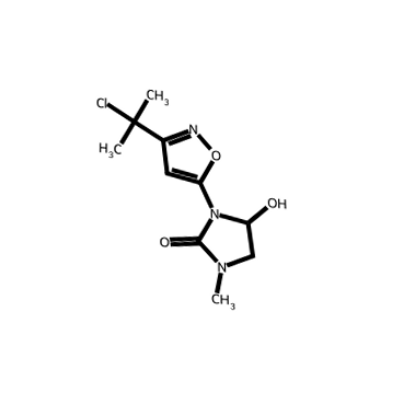 CN1CC(O)N(c2cc(C(C)(C)Cl)no2)C1=O